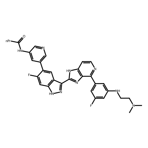 CCCC(=O)Nc1cncc(-c2cc3c(-c4nc5c(-c6cc(F)cc(NCCN(C)C)c6)nccc5[nH]4)n[nH]c3cc2F)c1